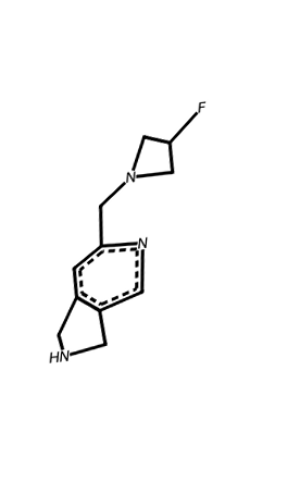 FC1CN(Cc2cc3c(cn2)CNC3)C1